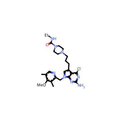 CCNC(=O)N1CCN(CCCc2cn(Cc3ncc(C)c(OC)c3C)c3nc(N)nc(Cl)c23)CC1